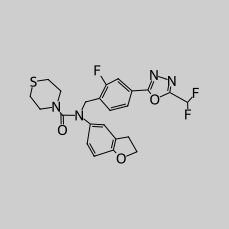 O=C(N1CCSCC1)N(Cc1ccc(-c2nnc(C(F)F)o2)cc1F)c1ccc2c(c1)CCO2